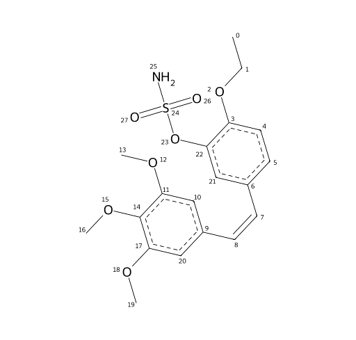 CCOc1ccc(/C=C\c2cc(OC)c(OC)c(OC)c2)cc1OS(N)(=O)=O